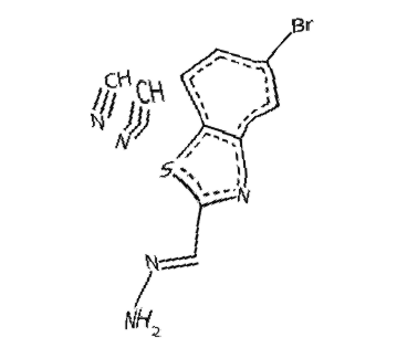 C#N.C#N.NN=Cc1nc2cc(Br)ccc2s1